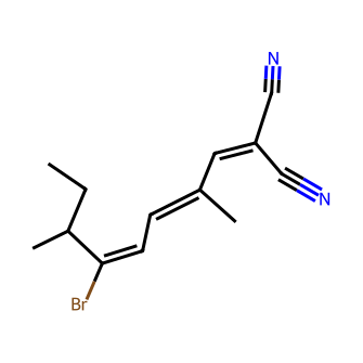 CCC(C)/C(Br)=C\C=C(/C)C=C(C#N)C#N